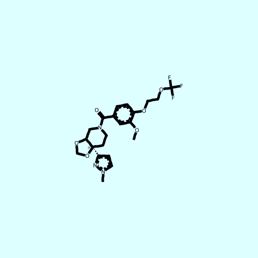 COc1cc(C(=O)N2CC[C@@]3(c4ccn(C)n4)OCOC3C2)ccc1OCCOC(F)(F)F